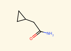 NC(=O)CC1CC1